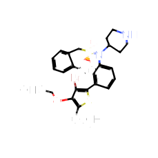 O=CCOc1c(C(=O)O)sc(-c2cccc(N(C3CCNCC3)S(=O)(=O)Cc3ccccc3[N+](=O)[O-])c2)c1Br